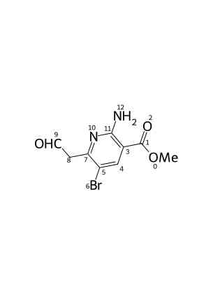 COC(=O)c1cc(Br)c(CC=O)nc1N